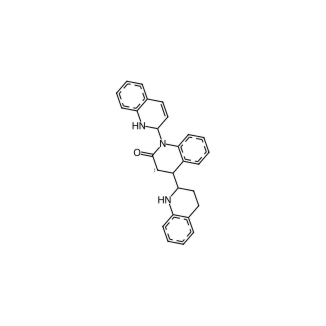 O=C1[C]C(C2CCc3ccccc3N2)c2ccccc2N1C1C=Cc2ccccc2N1